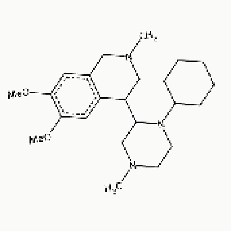 COc1cc2c(cc1OC)C(C1CN(C)CCN1C1CCCCC1)CN(C)C2